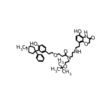 CN1CCC(c2ccccc2)(c2cc(CCOCCC(=O)N(CCNCCc3ccc(O)c4c3OCC(=O)N4)CCOC(C)(C)C)ccc2O)CC1